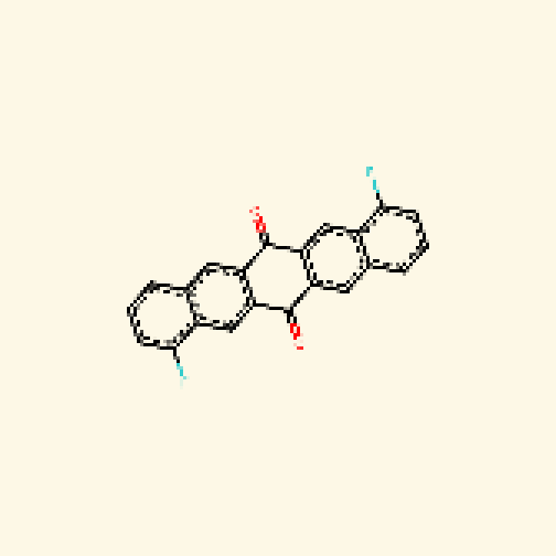 O=C1c2cc3cccc(F)c3cc2C(=O)c2cc3cccc(F)c3cc21